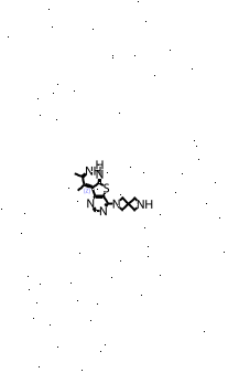 CC(=N)/C(C)=C1\C(=N)Sc2c1ncnc2N1CC2(CNC2)C1